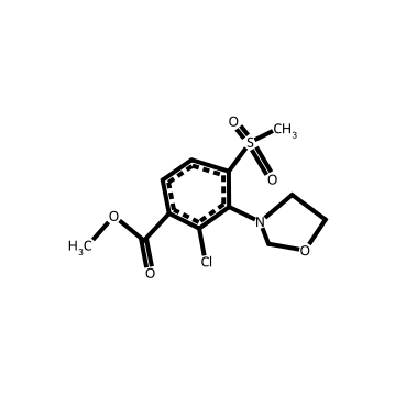 COC(=O)c1ccc(S(C)(=O)=O)c(N2CCOC2)c1Cl